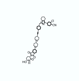 N#Cc1ccc(-c2nn(Cc3ccc(C#CC4CCN(C5CCN(c6ccc7c(c6)C(=O)N(C6CCC(O)NC6=O)C7=O)CC5)CC4)cc3)c3c2CCCC3)cc1Cl